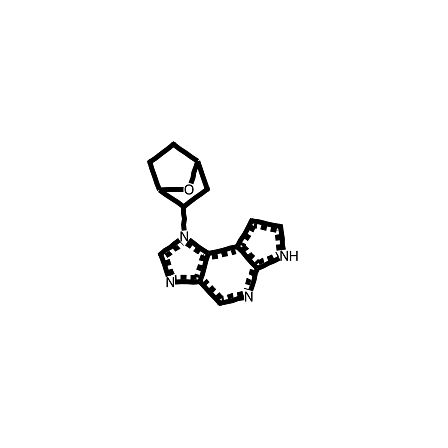 c1cc2c(ncc3ncn(C4CC5CCC4O5)c32)[nH]1